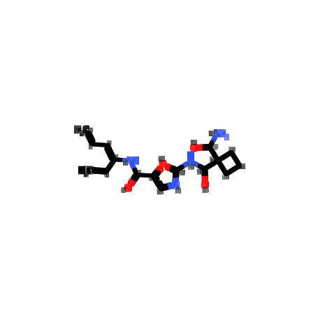 C=C/C=C(\C=C)NC(=O)c1cnc(NC(=O)C2(C(N)=O)CCC2)o1